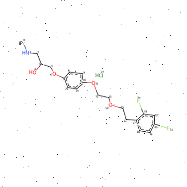 CC(C)NCC(O)COc1ccc(OCCOCCc2ccc(F)cc2F)cc1.Cl